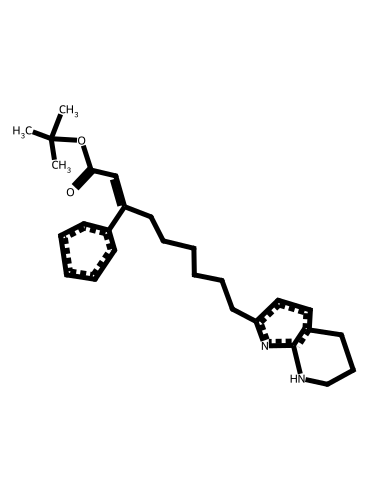 CC(C)(C)OC(=O)C=C(CCCCCCc1ccc2c(n1)NCCC2)c1ccccc1